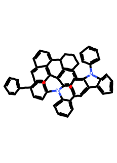 c1ccc(-c2ccc(N(c3ccccc3-c3ccc4c(c3)c3ccccc3n4-c3ccccc3)c3ccccc3-c3cccc4cccc(C5CCCCC5)c34)cc2)cc1